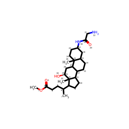 COC(=O)CCC(C)C1CCC2C3CCC4CC(NC(=O)CN)CCC4(C)C3C[C@H](O)C12C